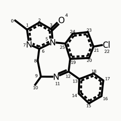 Cc1cc(=O)n2c(n1)CC(C)N=C(c1ccccc1)c1cc(Cl)ccc1-2